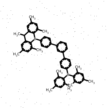 Cc1cc(C)c(B(c2ccc(-c3cccc(-c4ccc(B5c6c(C)cc(C)cc6C(C)c6cc(C)cc(C)c65)cc4)c3)cc2)c2c(C)cc(C)cc2C)c(C)c1